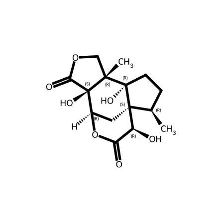 C[C@@H]1CC[C@@]2(O)[C@@]13C[C@@H](OC(=O)[C@@H]3O)[C@]1(O)C(=O)OC[C@]21C